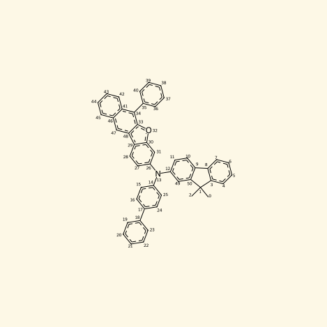 CC1(C)c2ccccc2-c2ccc(N(c3ccc(-c4ccccc4)cc3)c3ccc4c(c3)oc3c(-c5ccccc5)c5ccccc5cc34)cc21